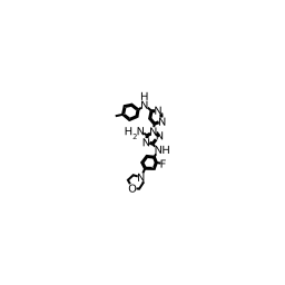 Cc1ccc(Nc2cc(-n3nc(Nc4ccc(N5CCOCC5)cc4F)nc3N)ncn2)cc1